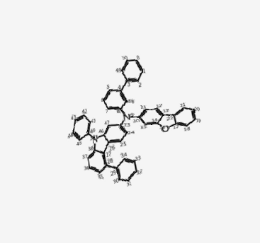 c1ccc(-c2cccc(N(c3ccc4c(c3)oc3ccccc34)c3ccc4c5c(-c6ccccc6)cccc5n(-c5ccccc5)c4c3)c2)cc1